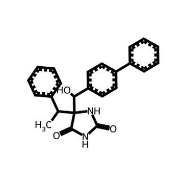 CC(c1ccccc1)C1(C(O)c2ccc(-c3ccccc3)cc2)NC(=O)NC1=O